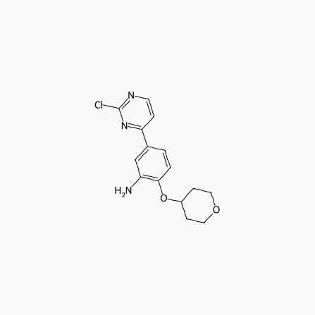 Nc1cc(-c2ccnc(Cl)n2)ccc1OC1CCOCC1